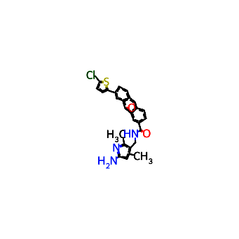 Cc1cc(N)nc(C)c1CNC(=O)c1ccc2c(c1)c1oc2c2ccc(-c3ccc(Cl)s3)cc21